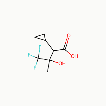 CC(O)(C(C(=O)O)C1CC1)C(F)(F)F